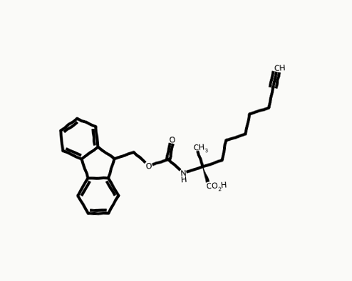 C#CCCCCC[C@@](C)(NC(=O)OCC1c2ccccc2-c2ccccc21)C(=O)O